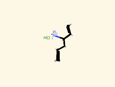 C=CCC(N)C=C.Cl